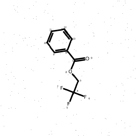 O=C(OCC(F)(F)F)c1cc[c]cc1